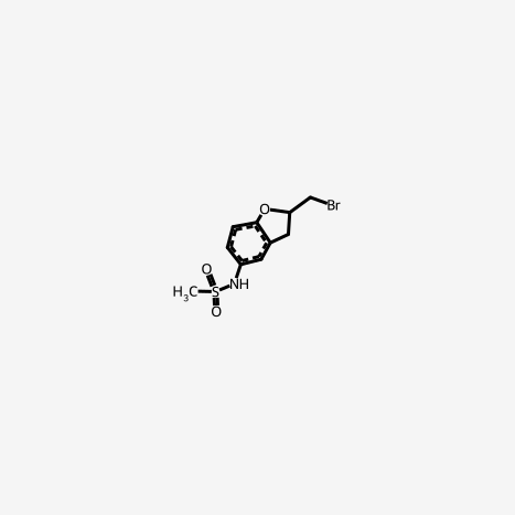 CS(=O)(=O)Nc1ccc2c(c1)CC(CBr)O2